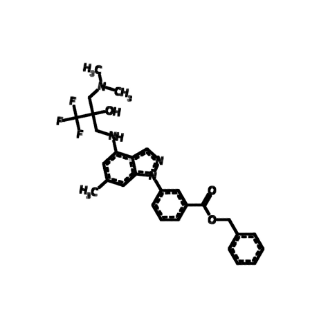 Cc1cc(NCC(O)(CN(C)C)C(F)(F)F)c2cnn(-c3cccc(C(=O)OCc4ccccc4)c3)c2c1